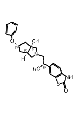 O=c1[nH]c2ccc([C@@H](O)CN3C[C@H]4C[C@H](Oc5ccccc5)C[C@@]4(O)C3)cc2s1